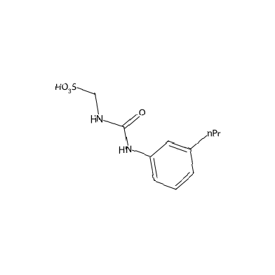 CCCc1cccc(NC(=O)NCS(=O)(=O)O)c1